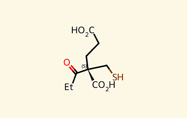 CCC(=O)[C@@](CS)(CCC(=O)O)C(=O)O